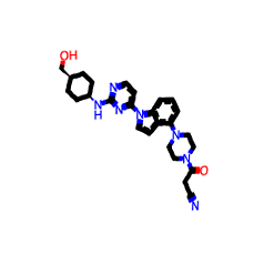 N#CCC(=O)N1CCN(c2cccc3c2ccn3-c2ccnc(N[C@H]3CC[C@H](CO)CC3)n2)CC1